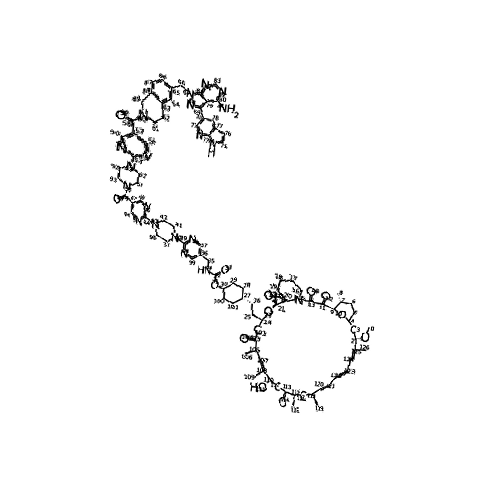 CO[C@H]1CC2CC[C@@H](C)C(O2)C(=O)C(=O)N2CCCC[C@H]2C(=O)O[C@H](CC[C@H]2CC[C@H](OC(=O)NCc3cnc(N4CCN(c5ncc(C(=O)N6CCN(c7ncc(C(=O)N8CCc9cc(Cn%10nc(-c%11cnc%12[nH]ccc%12c%11)c%11c(N)ncnc%11%10)ccc9C8)cn7)CC6)cn5)CC4)nc3)CC2)CC(=O)[C@H](C)/C=C(\C)[C@@H](O)CC(=O)[C@H](C)C[C@H](C)/C=C/C=C/C=C/1C